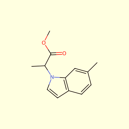 COC(=O)C(C)n1ccc2ccc(C)cc21